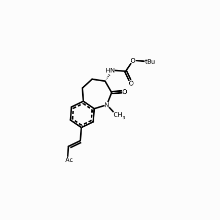 CC(=O)/C=C/c1ccc2c(c1)N(C)C(=O)[C@@H](NC(=O)OC(C)(C)C)CC2